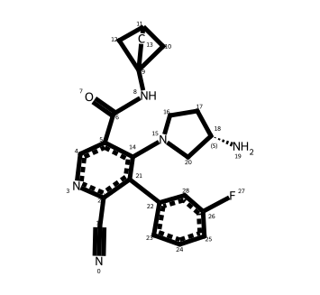 N#Cc1ncc(C(=O)NC23CC(C2)C3)c(N2CC[C@H](N)C2)c1-c1cccc(F)c1